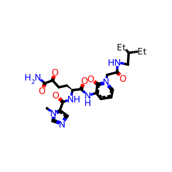 CCC(CC)CNC(=O)Cn1cccc(NC(=O)[C@H](CCC(=O)C(N)=O)NC(=O)c2cncn2C)c1=O